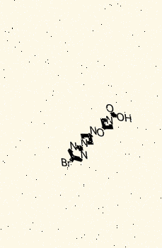 O=C(O)N1CC(ON=C2CN(c3ncc(Br)cn3)C2)C1